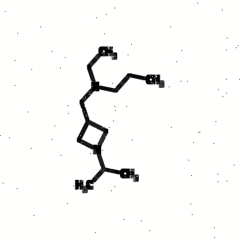 CCCN(CC)CC1CN(C(C)C)C1